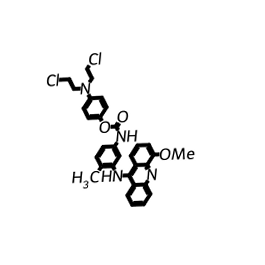 COc1cccc2c(Nc3cc(NC(=O)Oc4ccc(N(CCCl)CCCl)cc4)ccc3C)c3ccccc3nc12